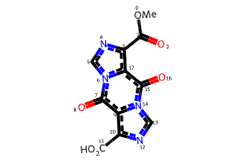 COC(=O)c1ncn2c(=O)c3c(C(=O)O)ncn3c(=O)c12